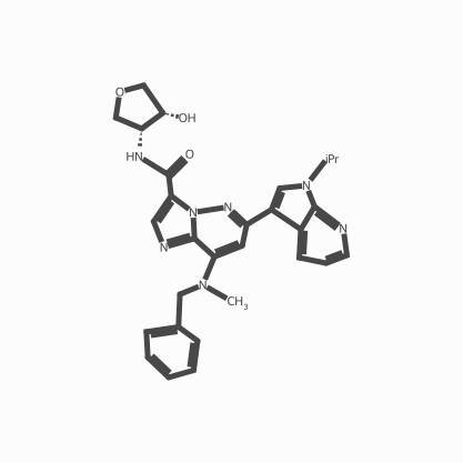 CC(C)n1cc(-c2cc(N(C)Cc3ccccc3)c3ncc(C(=O)N[C@@H]4COC[C@@H]4O)n3n2)c2cccnc21